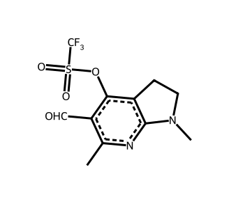 Cc1nc2c(c(OS(=O)(=O)C(F)(F)F)c1C=O)CCN2C